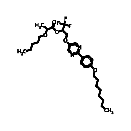 CCCCCCCCOc1ccc(-c2ncc(OCC(OC(=O)C(C)OCCCCC)C(F)(F)F)cn2)cc1